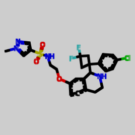 Cn1cc(S(=O)(=O)NCCOc2ccc3c(c2)C(C2(c4ccc(Cl)cc4)CC(F)(F)C2)NCC3)cn1